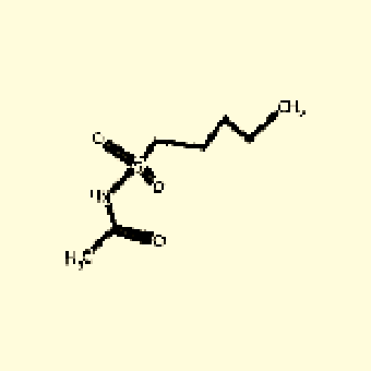 CCCCCS(=O)(=O)NC(C)=O